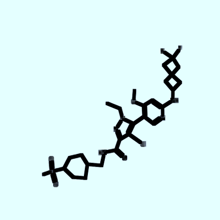 CCn1nc(C(=O)NCC2CCC(S(C)(=O)=O)CC2)c(Cl)c1-c1cnc(NC2CC3(C2)CC(F)(F)C3)cc1OC